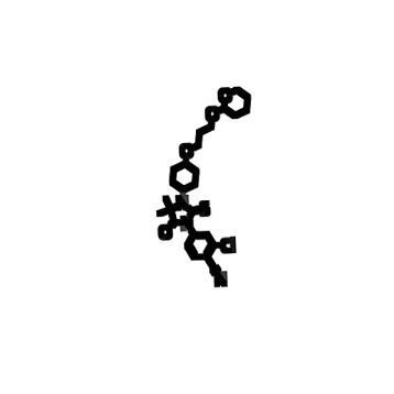 CC1(C)C(=O)N(c2ccc(C#N)c(Cl)c2)C(=S)N1[C@H]1CC[C@H](OCCCOC2CCCCO2)CC1